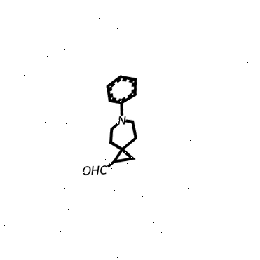 O=CC1CC12CCN(c1ccccc1)CC2